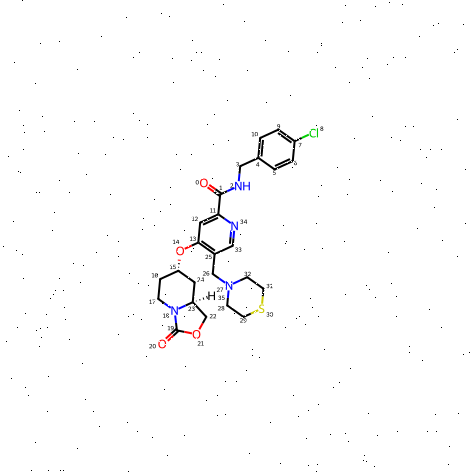 O=C(NCc1ccc(Cl)cc1)c1cc(O[C@H]2CCN3C(=O)OC[C@@H]3C2)c(CN2CCSCC2)cn1